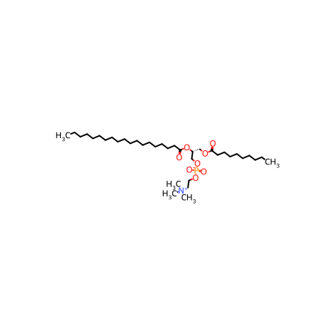 CCCCCCCCCCCCCCCCCCC(=O)O[C@H](COC(=O)CCCCCCCCC)COP(=O)([O-])OCC[N+](C)(C)C